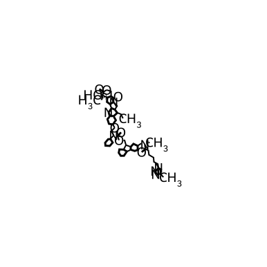 CCc1c2c(nc3ccc(OCN(C(=O)OCC4c5ccccc5-c5ccc(CN(C)C(=O)CCCCCn6cc(C)nn6)cc54)c4ccccc4)cc13)-c1cc3c(c(=O)n1C2)COC(=O)[C@]3(O)CC